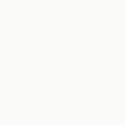 Cc1cc(OCC2CNCC(F)C2)nc(C)n1